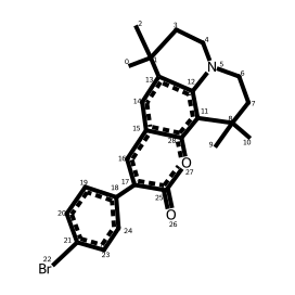 CC1(C)CCN2CCC(C)(C)c3c2c1cc1cc(-c2ccc(Br)cc2)c(=O)oc31